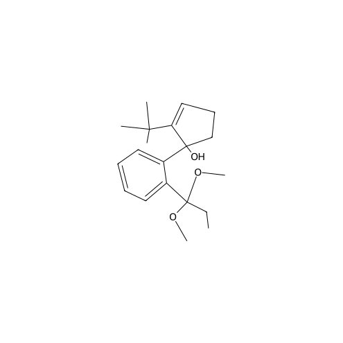 CCC(OC)(OC)c1ccccc1C1(O)CCC=C1C(C)(C)C